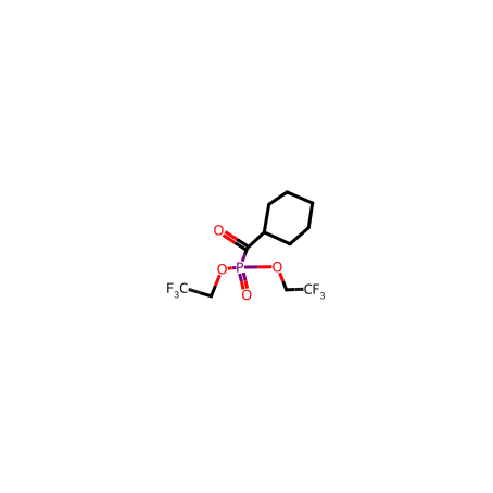 O=C(C1CCCCC1)P(=O)(OCC(F)(F)F)OCC(F)(F)F